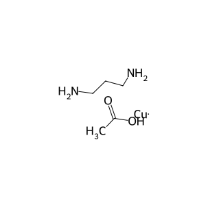 CC(=O)O.NCCCN.[Cu]